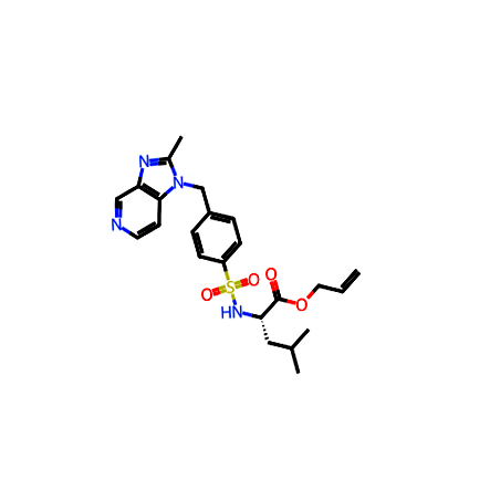 C=CCOC(=O)[C@H](CC(C)C)NS(=O)(=O)c1ccc(Cn2c(C)nc3cnccc32)cc1